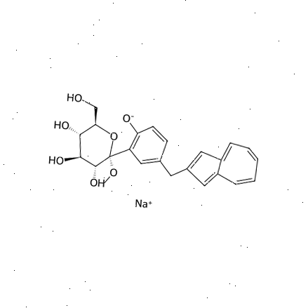 CO[C@@]1(c2cc(Cc3cc4cccccc-4c3)ccc2[O-])O[C@H](CO)[C@@H](O)[C@H](O)[C@H]1O.[Na+]